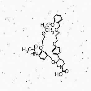 COCCCOc1cc(COC2CN(C(=O)O)CCC2c2ccc(OCCCOCc3ccccc3OC)cc2)ccc1NC(C)=O